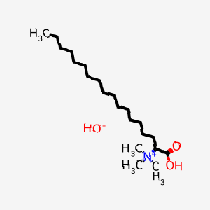 CCCCCCCCCCCCCCCCC(C(=O)O)[N+](C)(C)C.[OH-]